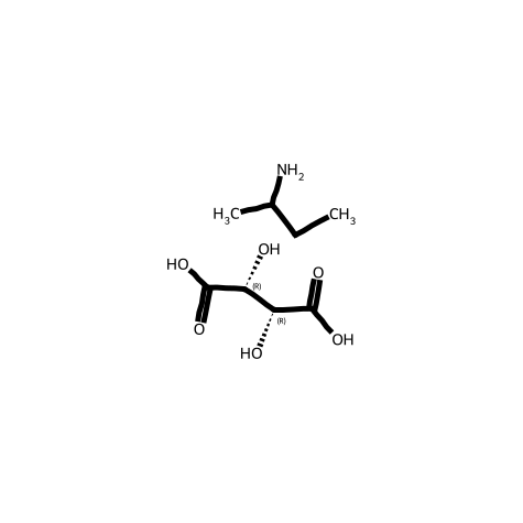 CCC(C)N.O=C(O)[C@H](O)[C@@H](O)C(=O)O